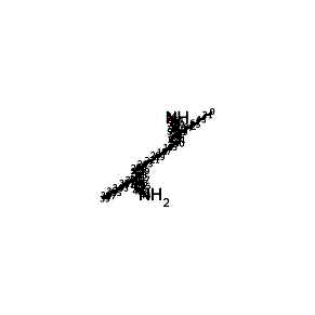 CCCCCCCCCCC(c1ccc(CCCCCCCCCCc2ccc(C(CCCCCCCCCC)c3ccc(N)cc3C)cc2)cc1)c1ccc(N)cc1C